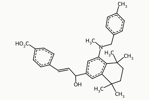 Cc1ccc(CN(C)c2cc(C(O)C=Cc3ccc(C(=O)O)cc3)cc3c2C(C)(C)CCC3(C)C)cc1